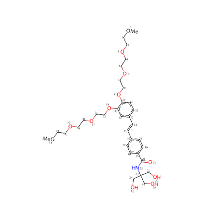 COCCOCCOCCOc1ccc(/C=C/c2ccc(C(=O)NC(CO)(CO)CO)cc2)cc1OCCOCCOCCOC